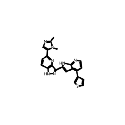 Cc1ncc(-c2ccc3[nH]nc(-c4cc5c(-c6ccsc6)ccnc5[nH]4)c3n2)n1C